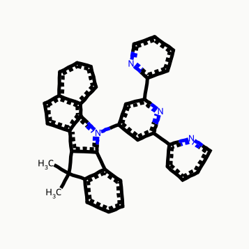 CC1(C)c2ccccc2-c2c1c1ccc3ccccc3c1n2-c1cc(-c2ccccn2)nc(-c2ccccn2)c1